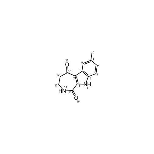 Cc1ccc2[nH]c3c(c2c1)C(=O)CCNC3=O